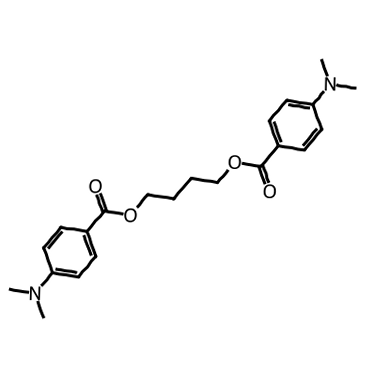 CN(C)c1ccc(C(=O)OCCCCOC(=O)c2ccc(N(C)C)cc2)cc1